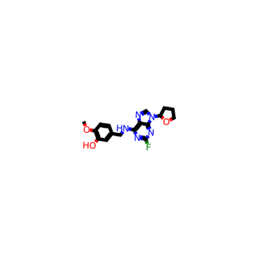 COc1ccc(CNc2nc(F)nc3c2ncn3C2CCCO2)cc1O